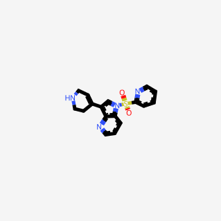 O=S(=O)(c1ccccn1)n1cc(C2=CCNCC2)c2ncccc21